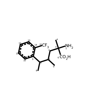 CC(CC(C)(N)C(=O)O)C(C)c1ccccc1C(F)(F)F